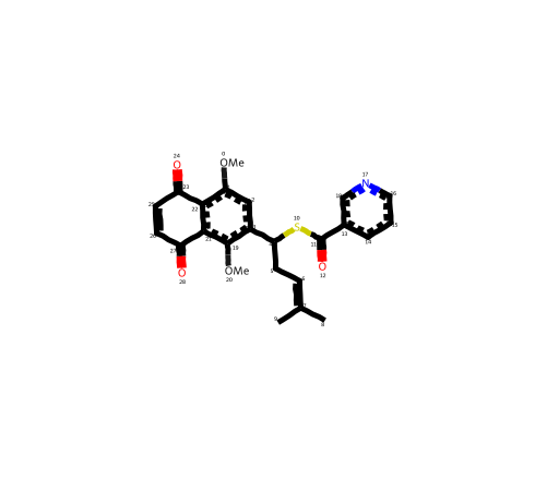 COc1cc(C(CC=C(C)C)SC(=O)c2cccnc2)c(OC)c2c1C(=O)C=CC2=O